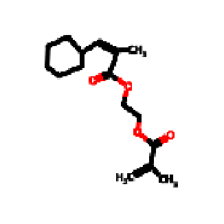 C=C(C)C(=O)OCCOC(=O)C(C)=CC1CCCCC1